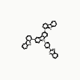 c1ccc2sc(-c3ccc(-n4c5ccc(-c6cccc7c6sc6ccccc67)cc5c5cc(-c6cccc7c6sc6ccccc67)ccc54)cc3)nc2c1